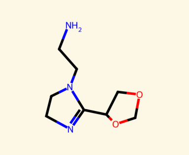 NCCN1CCN=C1C1COCO1